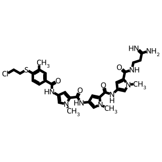 Cc1cc(C(=O)Nc2cc(C(=O)Nc3cc(C(=O)Nc4cc(C(=O)NCCC(=N)N)n(C)c4)n(C)c3)n(C)c2)ccc1SCCCl